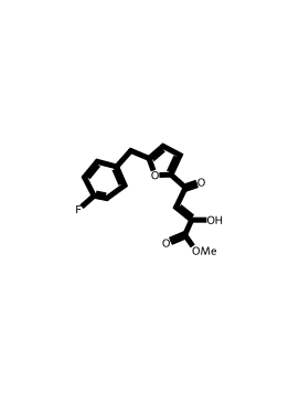 COC(=O)C(O)=CC(=O)c1ccc(Cc2ccc(F)cc2)o1